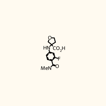 CNC(=O)c1ccc(NC2(C(=O)O)CCOC2)cc1F